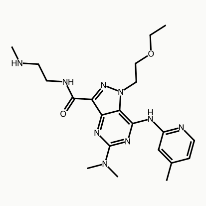 CCOCCn1nc(C(=O)NCCNC)c2nc(N(C)C)nc(Nc3cc(C)ccn3)c21